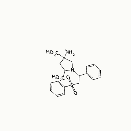 NC1(C(=O)O)CC(C(=O)O)N(C(CS(=O)(=O)c2ccccc2)c2ccccc2)C1